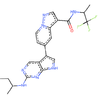 CCC(C)Nc1ncc2c(-c3ccn4ncc(C(=O)NC(C)C(F)(F)F)c4c3)c[nH]c2n1